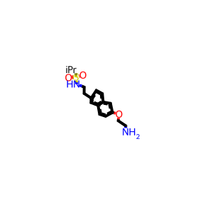 CC(C)S(=O)(=O)NCCc1ccc2cc(OCCN)ccc2c1